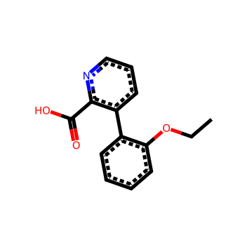 CCOc1ccccc1-c1cccnc1C(=O)O